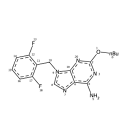 CCCCOc1nc(N)c2ncn(Cc3c(F)cccc3F)c2n1